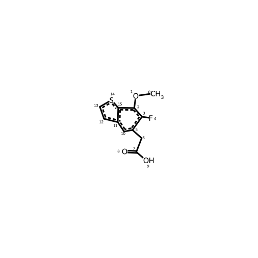 COc1c(F)c(CC(=O)O)cc2ccsc12